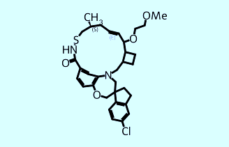 COCCOC1/C=C/C[C@H](C)CSNC(=O)c2ccc3c(c2)N(CC2CCC21)CC1(CCc2cc(Cl)ccc21)CO3